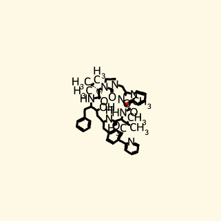 COC(=O)NC(C(=O)NC(Cc1ccc(-c2ccccn2)cc1)CC(O)C(Cc1ccccc1)NC(=O)[C@@H](N1CCN(Cc2ncc3ccccn23)C1=O)C(C)(C)C)C(C)(C)C